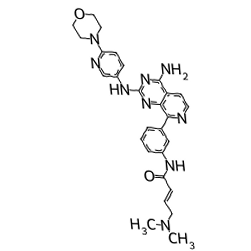 CN(C)CC=CC(=O)Nc1cccc(-c2nccc3c(N)nc(Nc4ccc(N5CCOCC5)nc4)nc23)c1